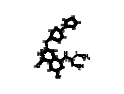 CC[C@H](CO)Nc1cc(Br)cc2c(=O)[nH]c(Cc3ccc(-n4cccc4)cc3)nc12